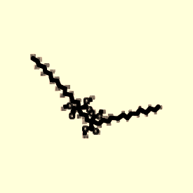 CCCCCCCCCCCCCCC(CCCC(CCCCCCCCCCCCCC)(C(=O)OC)C(=O)OC)(C(=O)OC)C(=O)OC